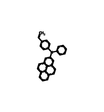 C=Cc1ccc(N(c2ccccc2)c2cc3ccc4cccc5ccc(c2)c3c45)cc1